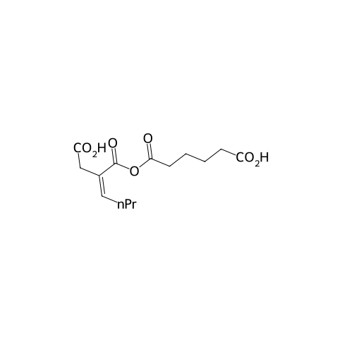 CCCC=C(CC(=O)O)C(=O)OC(=O)CCCCC(=O)O